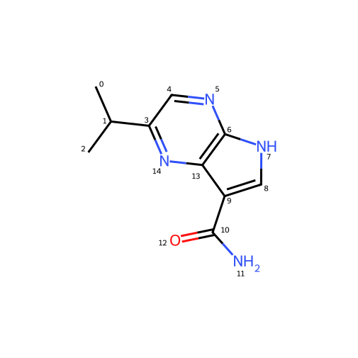 CC(C)c1cnc2[nH]cc(C(N)=O)c2n1